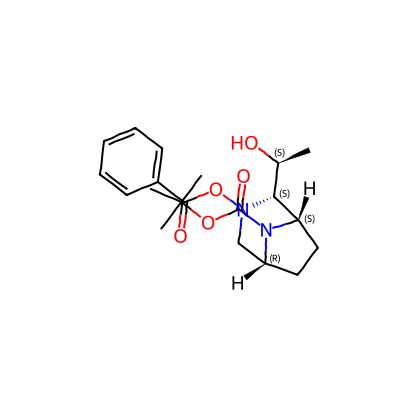 C[C@H](O)[C@@H]1[C@@H]2CC[C@H](CN1OC(=O)c1ccccc1)N2C(=O)OC(C)(C)C